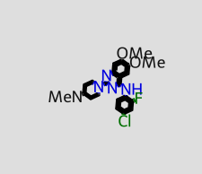 CNC1CCN(c2nc(Nc3ccc(Cl)cc3F)c3cc(OC)c(OC)cc3n2)CC1